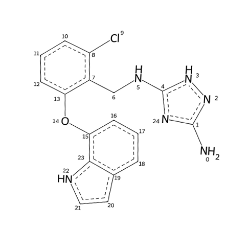 Nc1n[nH]c(NCc2c(Cl)cccc2Oc2cccc3cc[nH]c23)n1